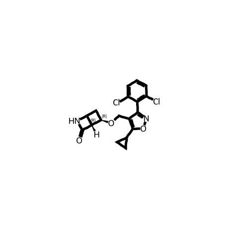 O=C1NC2C[C@@H](OCc3c(-c4c(Cl)cccc4Cl)noc3C3CC3)[C@H]12